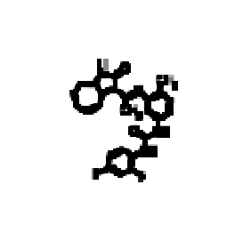 C/C(=N\c1cc(NC(=O)Nc2ccc(F)cc2F)ccc1C)c1c2cccccc-2[nH]c1=O